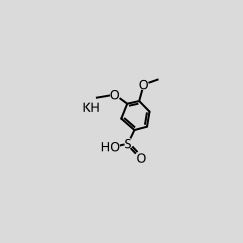 COc1ccc(S(=O)O)cc1OC.[KH]